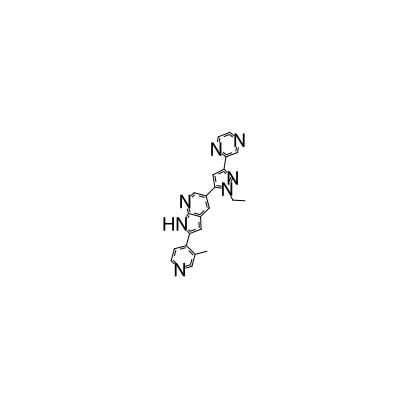 CCn1nc(-c2cnccn2)cc1-c1cnc2[nH]c(-c3ccncc3C)cc2c1